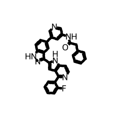 O=C(Cc1ccccc1)Nc1cncc(-c2ccc3[nH]nc(-c4cc5c(-c6ccccc6F)nccc5[nH]4)c3c2)c1